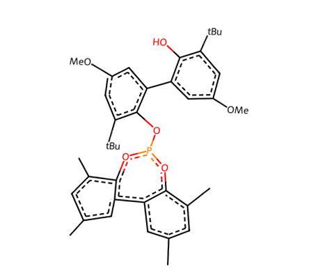 COc1cc(-c2cc(OC)cc(C(C)(C)C)c2Op2oc3c(C)cc(C)cc3c3cc(C)cc(C)c3o2)c(O)c(C(C)(C)C)c1